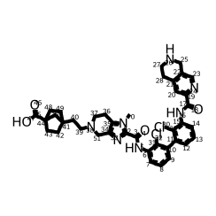 Cn1c(C(=O)Nc2cccc(-c3cccc(NC(=O)c4cc5c(cn4)CNCC5)c3Cl)c2Cl)nc2c1CCN(CCC13CCC(C(=O)O)(CC1)C3)C2